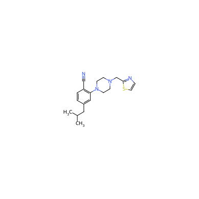 CC(C)Cc1ccc(C#N)c(N2CCN(Cc3nccs3)CC2)c1